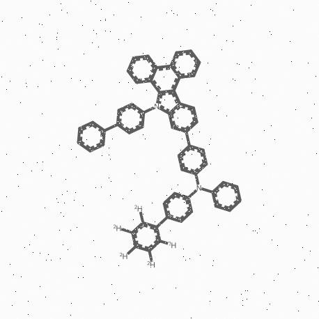 [2H]c1c([2H])c([2H])c(-c2ccc(N(c3ccccc3)c3ccc(-c4ccc5c6c7ccccc7c7ccccc7c6n(-c6ccc(-c7ccccc7)cc6)c5c4)cc3)cc2)c([2H])c1[2H]